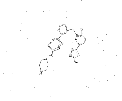 Cc1cc(-c2ccc(=O)n(Cc3cccc(-c4ncc(OCC5CCNCC5)cn4)c3)c2)sn1